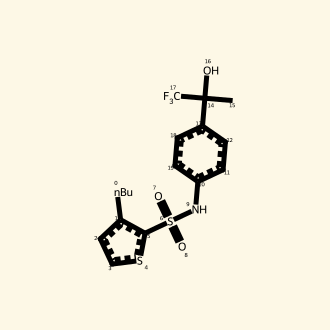 CCCCc1ccsc1S(=O)(=O)Nc1ccc(C(C)(O)C(F)(F)F)cc1